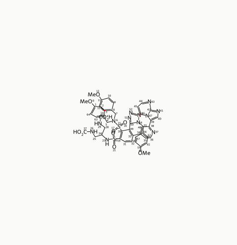 COc1ccc(CN(Cc2ccc(OC)cc2)S(=O)(=O)c2c(S(=O)(=O)NC(CNC(=O)O)CNC(=O)O)ccc(-c3ccnc(-c4cnc5ncccn45)c3)c2-c2nnnn2Cc2ccc(OC)cc2)cc1